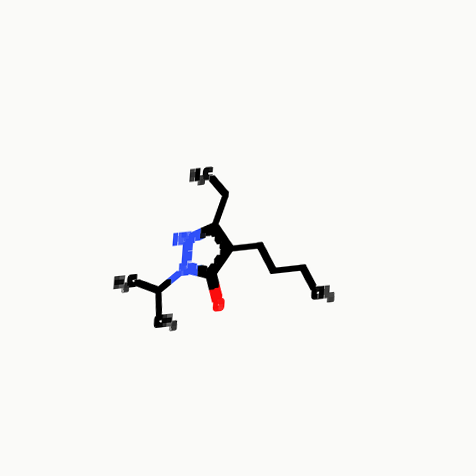 CCCCc1c(CC)[nH]n(C(C)C)c1=O